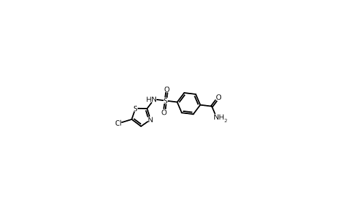 NC(=O)c1ccc(S(=O)(=O)Nc2ncc(Cl)s2)cc1